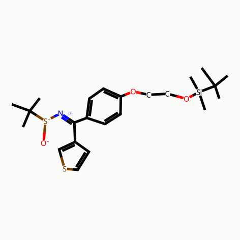 CC(C)(C)[S+]([O-])/N=C(/c1ccc(OCCO[Si](C)(C)C(C)(C)C)cc1)c1ccsc1